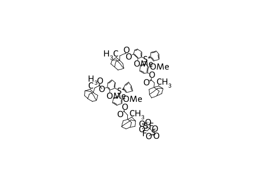 COc1c(OC(=O)CC23CC4CC(CC(C4)C2C)C3)cccc1[S+](c1ccccc1)c1cccc(OC(=O)CC23CC4CC(CC(C4)C2C)C3)c1OC.COc1c(OC(=O)CC23CC4CC(CC(C4)C2C)C3)cccc1[S+](c1ccccc1)c1cccc(OC(=O)CC23CC4CC(CC(C4)C2C)C3)c1OC.O=S(=O)([O-])C(F)(F)S(=O)(=O)[O-]